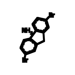 Brc1ccc2c(c1)Cc1cc(Br)ccc1-2.N